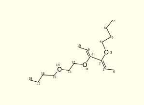 CC=C(OCCCC)C(=CC)OCCOCCCC